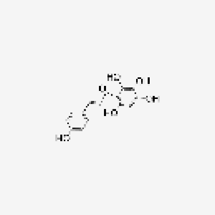 O=C(/C=C/c1ccc(O)cc1)c1c(O)cc(O)c(O)c1O